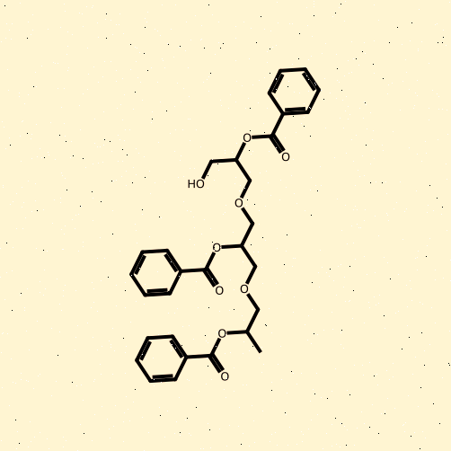 CC(COCC(COCC(CO)OC(=O)c1ccccc1)OC(=O)c1ccccc1)OC(=O)c1ccccc1